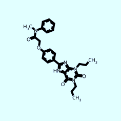 CCCn1c(=O)c2[nH]c(-c3ccc(OCC(=O)N(C)c4ccccc4)cc3)nc2n(CCC)c1=O